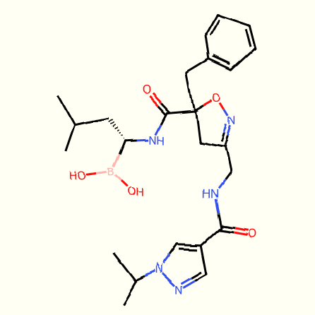 CC(C)C[C@H](NC(=O)C1(Cc2ccccc2)CC(CNC(=O)c2cnn(C(C)C)c2)=NO1)B(O)O